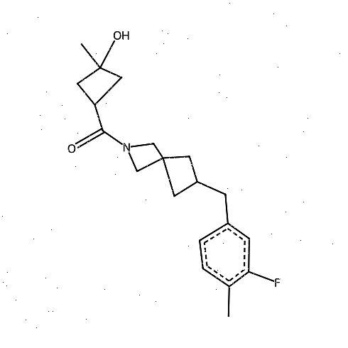 Cc1ccc(CC2CC3(C2)CN(C(=O)C2CC(C)(O)C2)C3)cc1F